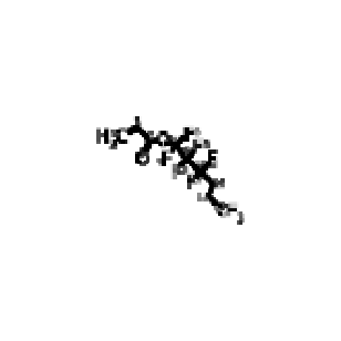 C=CC(=O)OC(F)(F)C(F)(F)C(F)(F)CCC(F)(F)F